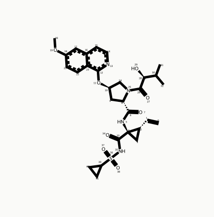 C=C[C@@H]1C[C@]1(NC(=O)[C@@H]1C[C@@H](Oc2nccc3cc(OC)ccc23)CN1C(=O)[C@@H](O)C(C)C)C(=O)NS(=O)(=O)C1CC1